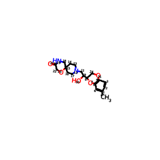 Cc1ccc2c(c1)OC(C(O)CN1CCC3(CC1)CNC(=O)CO3)CO2